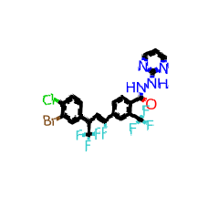 O=C(NNc1ncccn1)c1ccc(C(F)=CC(c2ccc(Cl)c(Br)c2)C(F)(F)F)cc1C(F)(F)F